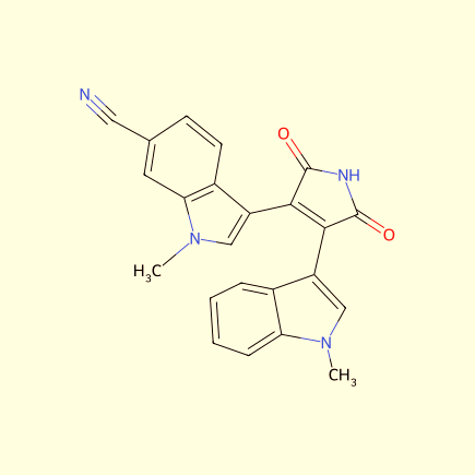 Cn1cc(C2=C(c3cn(C)c4cc(C#N)ccc34)C(=O)NC2=O)c2ccccc21